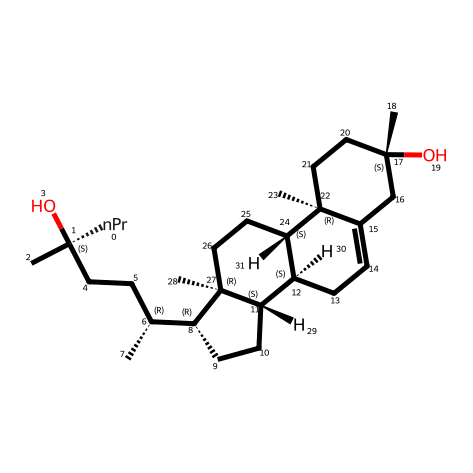 CCC[C@](C)(O)CC[C@@H](C)[C@H]1CC[C@H]2[C@@H]3CC=C4C[C@@](C)(O)CC[C@]4(C)[C@H]3CC[C@]12C